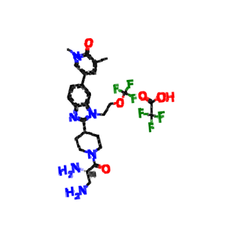 Cc1cc(-c2ccc3nc(C4CCN(C(=O)[C@@H](N)CN)CC4)n(CCOC(F)(F)F)c3c2)cn(C)c1=O.O=C(O)C(F)(F)F